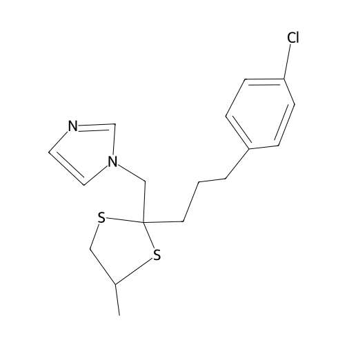 CC1CSC(CCCc2ccc(Cl)cc2)(Cn2ccnc2)S1